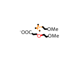 COCCOCCC(=O)[O-].COCC[P+](C)(C)C